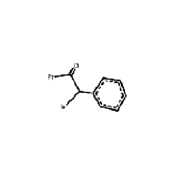 CCC(=O)C(Br)c1ccccc1